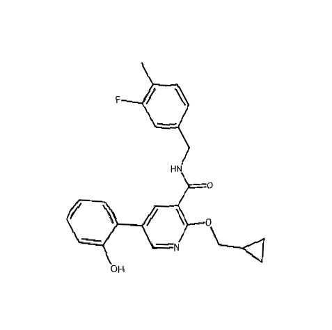 Cc1ccc(CNC(=O)c2cc(-c3ccccc3O)cnc2OCC2CC2)cc1F